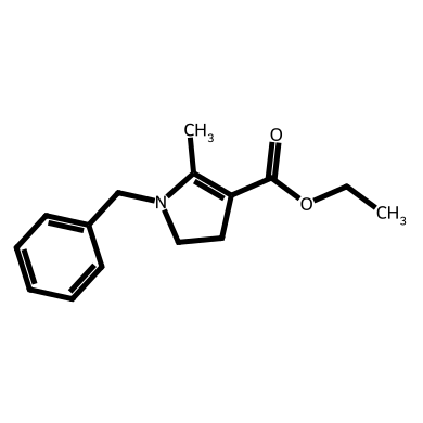 CCOC(=O)C1=C(C)N(Cc2ccccc2)CC1